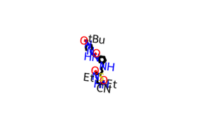 CCNC(=O)C(C#N)CC1SC(CCNc2cccc(NC(=O)CN3CCN(C(=O)C(C)(C)C)CC3)c2)C(=O)N1CC